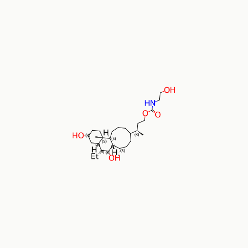 CC[C@H]1[C@@H](O)[C@H]2[C@@H](C)CCC([C@H](C)CCOC(=O)NCCO)CCC[C@@H]2[C@@]2(C)CC[C@@H](O)C[C@@H]12